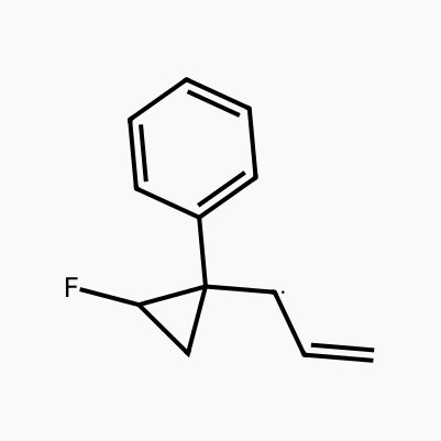 C=C[CH]C1(c2ccccc2)CC1F